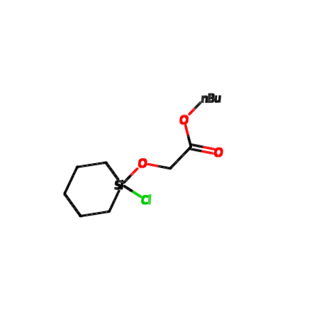 CCCCOC(=O)CO[Si]1(Cl)CCCCC1